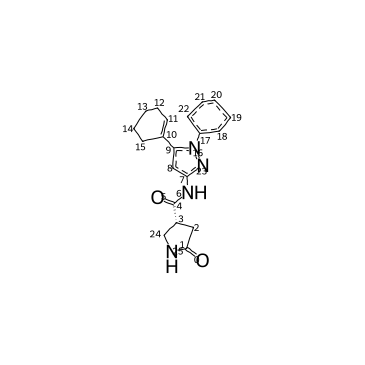 O=C1C[C@@H](C(=O)Nc2cc(C3=CCCCC3)n(-c3ccccc3)n2)CN1